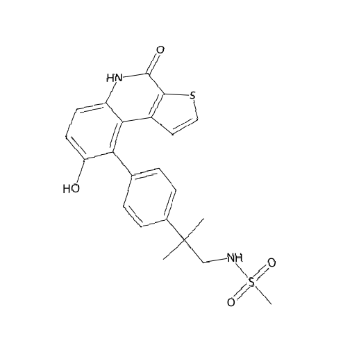 CC(C)(CNS(C)(=O)=O)c1ccc(-c2c(O)ccc3[nH]c(=O)c4sccc4c23)cc1